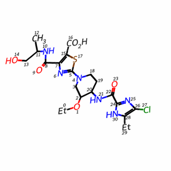 CCOC1CN(c2nc(C(=O)NC(C)CO)c(C(=O)O)s2)CCC1NC(=O)c1nc(Cl)c(CC)[nH]1